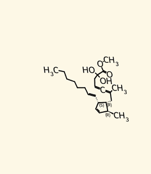 CCCCCCC=C[C@H]1C=C[C@H](C)[C@H]1CC(C)=C=CCC(O)(O)C(=O)OC